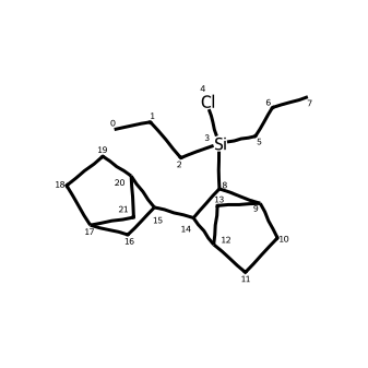 CCC[Si](Cl)(CCC)C1C2CCC(C2)C1C1CC2CCC1C2